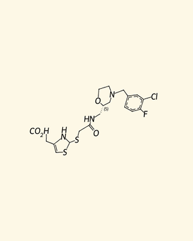 O=C(O)CC1=CSC(SCC(=O)NC[C@H]2CN(Cc3ccc(F)c(Cl)c3)CCO2)N1